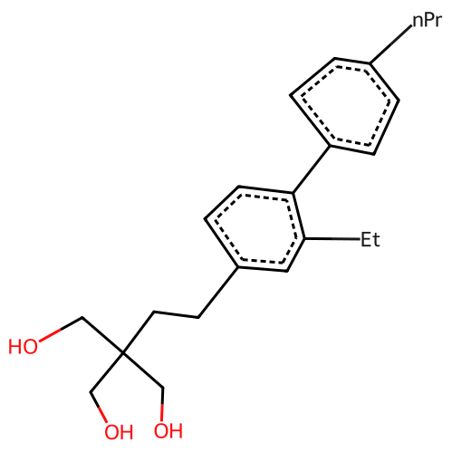 CCCc1ccc(-c2ccc(CCC(CO)(CO)CO)cc2CC)cc1